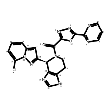 O=C(c1nnc(-c2ncccn2)o1)N1CCc2[nH]cnc2[C@H]1c1cc2cccc(Cl)n2n1